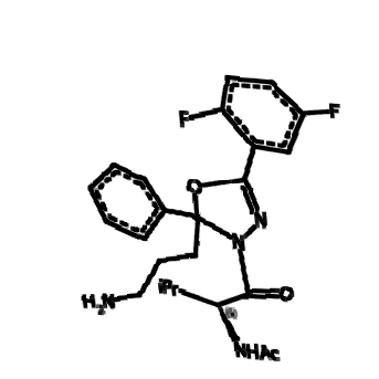 CC(=O)N[C@H](C(=O)N1N=C(c2cc(F)ccc2F)OC1(CCCN)c1ccccc1)C(C)C